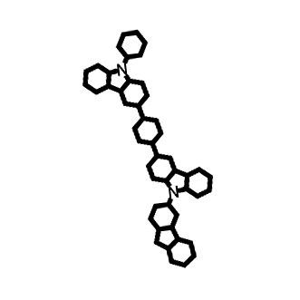 C1CCC(N2C3CCCCC3C3CC(C4CCC(C5CCC6C(C5)C5CCCCC5N6C5CCC6CC7CCCCC7C6C5)CC4)CCC32)CC1